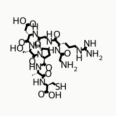 C[C@H](NC(=O)[C@@H]1CCCN1C(=O)[C@H](CO)NC(=O)[C@H](CC(=O)O)NC(=O)CNC(=O)[C@H](CCCNC(=N)N)NC(=O)CN)C(=O)N[C@@H](CS)C(=O)O